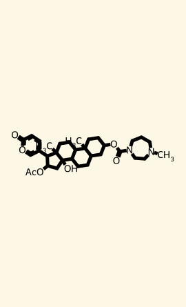 CC(=O)OC1CC2(O)C3CCC4CC(OC(=O)N5CCCN(C)CC5)CCC4(C)C3CCC2(C)C1c1ccc(=O)oc1